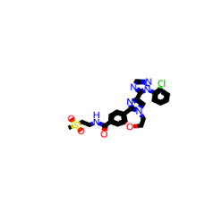 CS(=O)(=O)CCNC(=O)c1ccc2c(c1)OCCn1cc(-c3ncnn3-c3ccccc3Cl)nc1-2